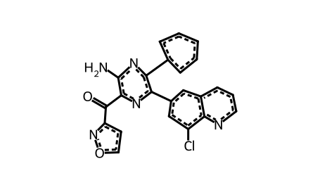 Nc1nc(-c2ccccc2)c(-c2cc(Cl)c3ncccc3c2)nc1C(=O)c1ccon1